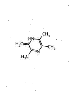 C=C1NC(C)=C(C)N=C1C